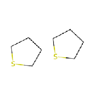 C1CCSC1.C1CCSC1